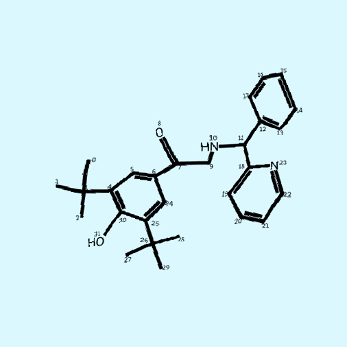 CC(C)(C)c1cc(C(=O)CNC(c2ccccc2)c2ccccn2)cc(C(C)(C)C)c1O